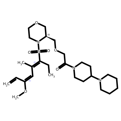 C=C/C(=C\C(C)=C(/CC)S(=O)(=O)N1CCOC[C@H]1COCC(=O)N1CCC(N2CCCCC2)CC1)OC